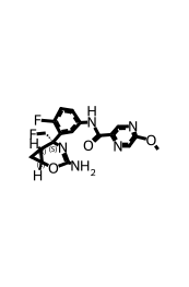 COc1cnc(C(=O)Nc2ccc(F)c([C@@]3(CF)N=C(N)O[C@@H]4C[C@@H]43)c2)cn1